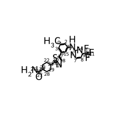 Cc1cc(Nc2nccc(C(F)(F)F)n2)cc(-c2cnc(C3CCC(C(N)=O)CC3)s2)c1